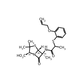 C=CCOc1ccccc1SC(C)C(=O)N[C@@]1(C)C(=O)N2[C@@H](C(=O)O)C(C)(C)S[C@@H]21